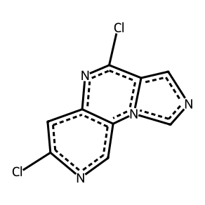 Clc1cc2nc(Cl)c3cncn3c2cn1